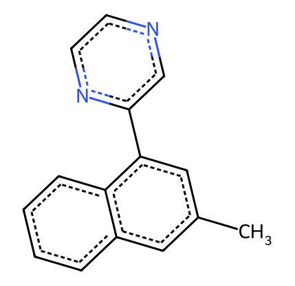 Cc1cc(-c2cnccn2)c2ccccc2c1